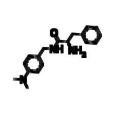 CN(C)c1ccc(CNC(=O)[C@H](N)Cc2ccccc2)cc1